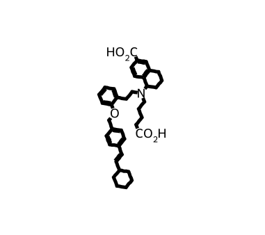 O=C(O)CCCCN(CCc1ccccc1OCc1ccc(C=CC2CCCCC2)cc1)C1CCCc2cc(C(=O)O)ccc21